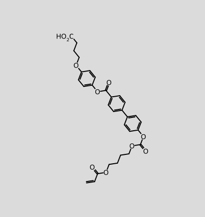 C=CC(=O)OCCCCOC(=O)Oc1ccc(-c2ccc(C(=O)Oc3ccc(OCCCC(=O)O)cc3)cc2)cc1